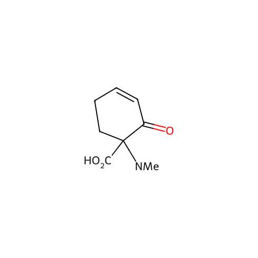 CNC1(C(=O)O)CCC=CC1=O